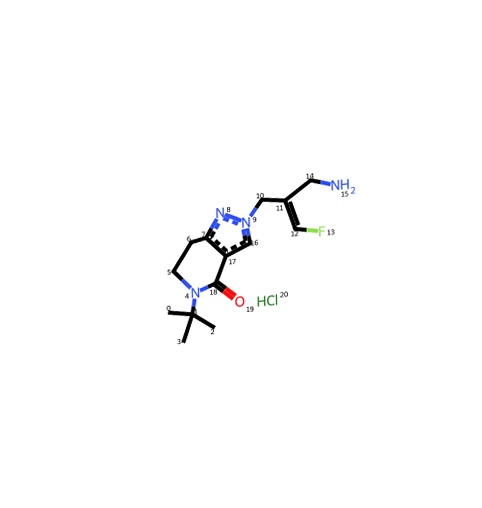 CC(C)(C)N1CCc2nn(CC(=CF)CN)cc2C1=O.Cl